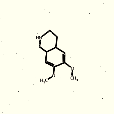 COC1=CC2CCNCC2C=C1OC